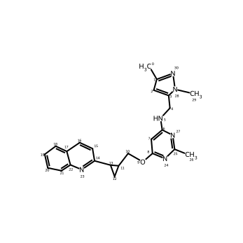 Cc1cc(CNc2cc(OCC3CC3c3ccc4ccccc4n3)nc(C)n2)n(C)n1